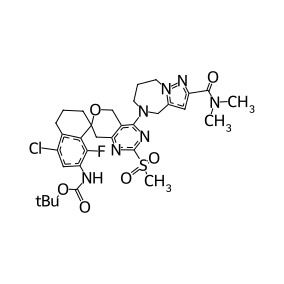 CN(C)C(=O)c1cc2n(n1)CCCN(c1nc(S(C)(=O)=O)nc3c1COC1(CCCc4c(Cl)cc(NC(=O)OC(C)(C)C)c(F)c41)C3)C2